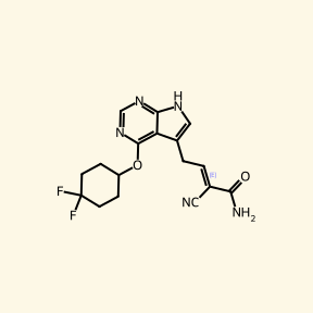 N#C/C(=C\Cc1c[nH]c2ncnc(OC3CCC(F)(F)CC3)c12)C(N)=O